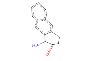 NC1C(=O)CCc2cc3ccccc3cc21